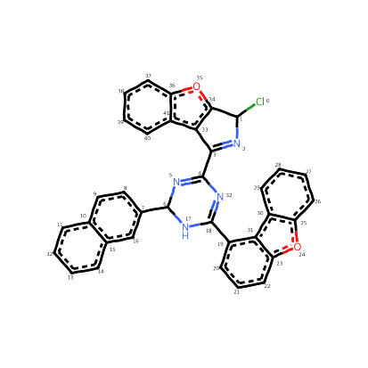 ClC1N=C(C2=NC(c3ccc4ccccc4c3)NC(c3cccc4oc5ccccc5c34)=N2)c2c1oc1ccccc21